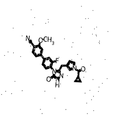 COc1cc(-c2ccc(-n3c(Cc4ccn(C(=O)C5CC5)c4)n[nH]c3=O)c(F)c2)ccc1C#N